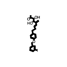 C=C(/C=C/CCc1ccc(OCc2cccc(I)c2)cc1)C(O)[C@@H](O)C(C)=O